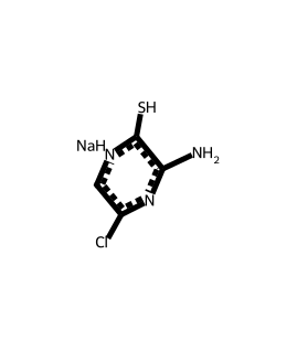 Nc1nc(Cl)cnc1S.[NaH]